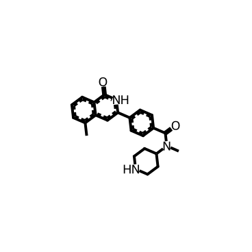 Cc1cccc2c(=O)[nH]c(-c3ccc(C(=O)N(C)C4CCNCC4)cc3)cc12